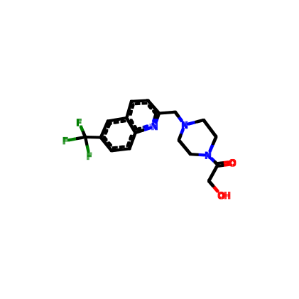 O=C(CO)N1CCN(Cc2ccc3cc(C(F)(F)F)ccc3n2)CC1